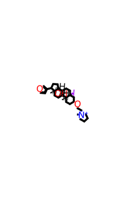 C[C@]12CCC(OCC[N+]3(C)CCCC3)CC1(I)CC[C@@H]1[C@H]2CC[C@]2(C)C(c3ccoc3)CC[C@@]12O